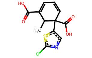 CC1C(C(=O)O)=CC=CC1(C(=O)O)c1cnc(Cl)s1